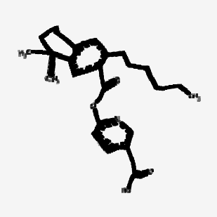 CCCCCCc1cc2c(cc1C(=O)Oc1ccc(C(=O)O)cn1)C(C)(C)CC2